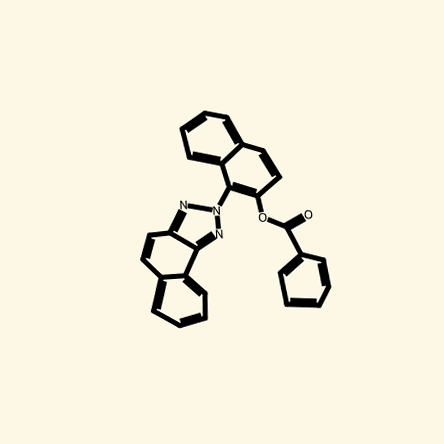 O=C(Oc1ccc2ccccc2c1-n1nc2ccc3ccccc3c2n1)c1ccccc1